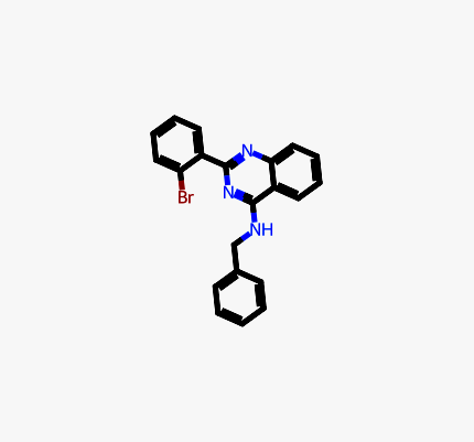 Brc1ccccc1-c1nc(NCc2ccccc2)c2ccccc2n1